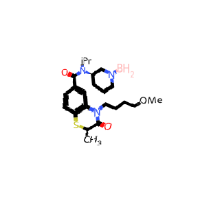 BN1CCC[C@@H](N(C(=O)c2ccc3c(c2)N(CCCCOC)C(=O)[C@@H](C)S3)C(C)C)C1